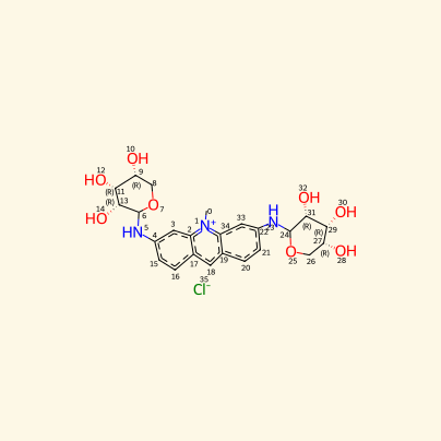 C[n+]1c2cc(NC3OC[C@@H](O)[C@@H](O)[C@H]3O)ccc2cc2ccc(NC3OC[C@@H](O)[C@@H](O)[C@H]3O)cc21.[Cl-]